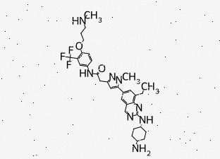 CCc1cc(-c2cc(CC(=O)Nc3ccc(OCCCNC)c(C(F)(F)F)c3)nn2C)cc2cnc(N[C@H]3CC[C@H](N)CC3)nc12